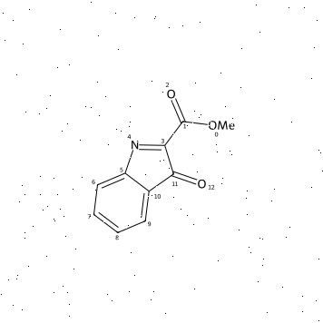 COC(=O)C1=Nc2ccccc2C1=O